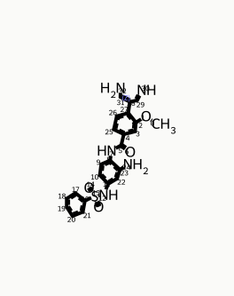 COc1cc(C(=O)Nc2ccc(NS(=O)(=O)c3ccccc3)cc2N)ccc1/C(C=N)=C/N